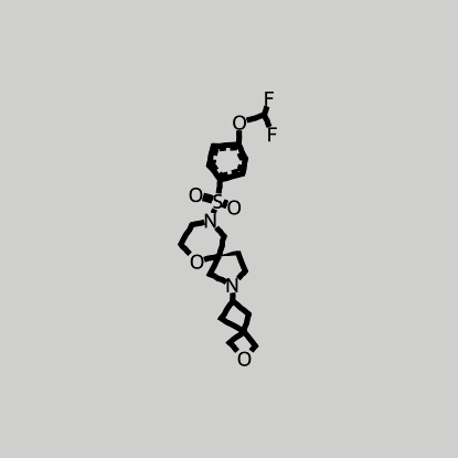 O=S(=O)(c1ccc(OC(F)F)cc1)N1CCO[C@]2(CCN(C3CC4(COC4)C3)C2)C1